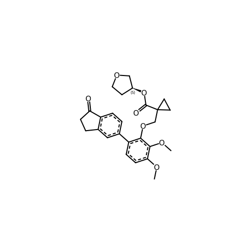 COc1ccc(-c2ccc3c(c2)CCC3=O)c(OCC2(C(=O)O[C@H]3CCOC3)CC2)c1OC